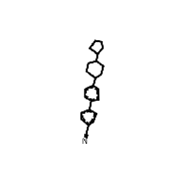 N#Cc1ccc(-c2ccc(C3CCC(C4CCCC4)CC3)cc2)cc1